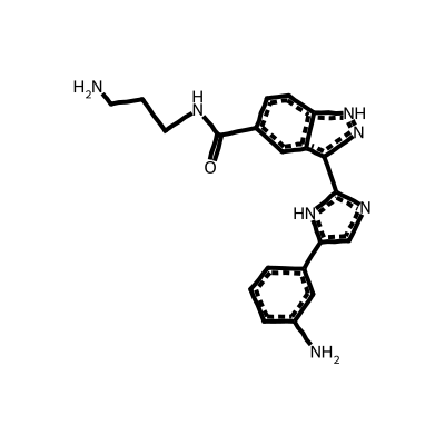 NCCCNC(=O)c1ccc2[nH]nc(-c3ncc(-c4cccc(N)c4)[nH]3)c2c1